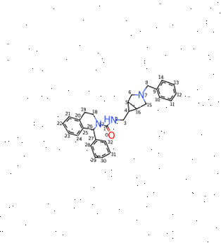 O=C(NCC1C2CN(Cc3ccccc3)CC12)N1CCc2ccccc2C1c1ccccc1